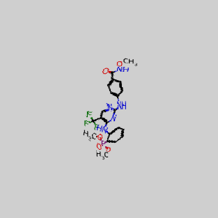 CONC(=O)c1ccc(Nc2ncc(C(F)(F)F)c(Nc3ccccc3P(=O)(OC)OC)n2)cc1